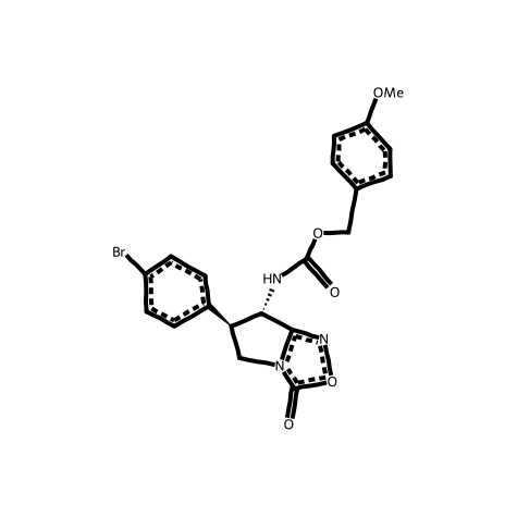 COc1ccc(COC(=O)N[C@@H]2c3noc(=O)n3C[C@H]2c2ccc(Br)cc2)cc1